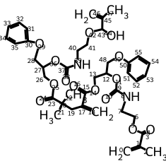 C=C(C)C(=O)OCCNC(=O)OC(COC(=O)C(=C)CC(C)(C)C(=O)OCC(COc1ccccc1)OC(=O)NCCOC(O)C(=C)C)COc1ccccc1